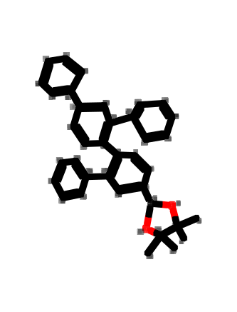 CC1(C)OB(c2ccc(-c3ccc(-c4ccccc4)cc3-c3ccccc3)c(-c3ccccc3)c2)OC1(C)C